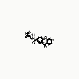 CN1c2ccc(C(=O)NCc3cncs3)cc2NC(=O)c2ccccc21